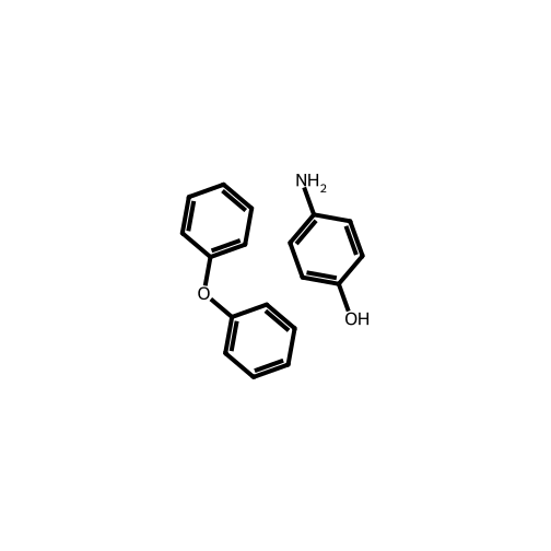 Nc1ccc(O)cc1.c1ccc(Oc2ccccc2)cc1